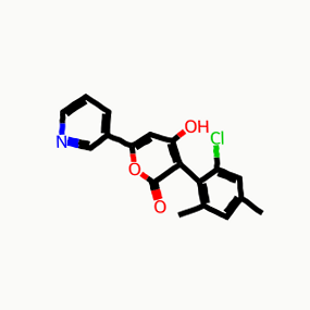 Cc1cc(C)c(-c2c(O)cc(-c3cccnc3)oc2=O)c(Cl)c1